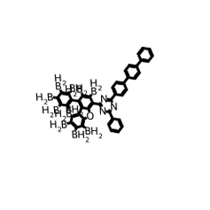 Bc1c(B)c(B)c(-c2c(B)c(B)c(-c3nc(-c4ccccc4)nc(-c4ccc(-c5ccc(-c6ccccc6)cc5)cc4)n3)c3oc4c(B)c(B)c(B)c(B)c4c23)c(B)c1B